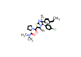 C=C(/C=C\C(Cl)=C/C)[C@]1(C)N=C2SC(C(=O)N3CCC[C@H]3C(=O)N(C)C)=C(C(C)C)N2[C@@H]1c1ccc(Cl)cc1